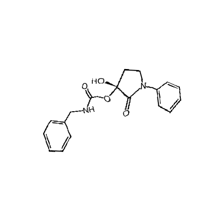 O=C(NCc1ccccc1)O[C@]1(O)CCN(c2ccccc2)C1=O